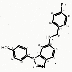 Oc1ccc(-n2nnc3ccc(NCc4ccc(F)cc4)nc32)cc1